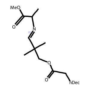 CCCCCCCCCCCC(=O)OCC(C)(C)/C=N/C(C)C(=O)OC